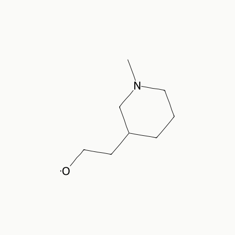 CN1CCCC(CC[O])C1